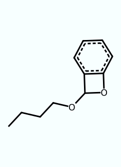 CCCCOC1Oc2ccccc21